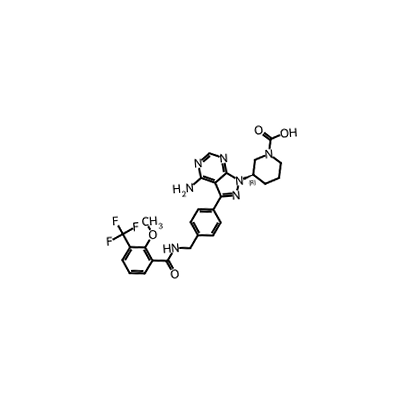 COc1c(C(=O)NCc2ccc(-c3nn([C@@H]4CCCN(C(=O)O)C4)c4ncnc(N)c34)cc2)cccc1C(F)(F)F